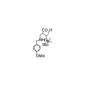 COc1ccc(CNCC(C(=O)O)C(C)O[Si](C)(C)C(C)(C)C)cc1